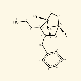 CC(C)(C)N1[C@@H]2CC[C@H]1[C@@H](CCO)N(Cc1ccccc1)C2